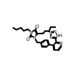 CCCCCc1c(Cl)n(CCCCC)c(=O)n1Cc1ccc(-c2cccnc2-c2nnn[nH]2)cc1